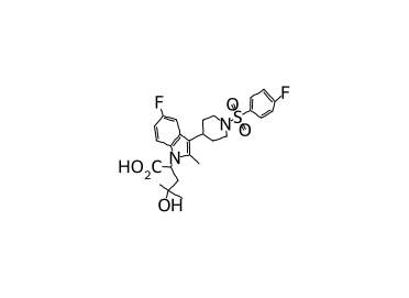 Cc1c(C2CCN(S(=O)(=O)c3ccc(F)cc3)CC2)c2cc(F)ccc2n1C(CC(C)(C)O)C(=O)O